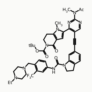 CCN1CCN(Cc2ccc(NC(=O)N3CCc4ccc(C#Cc5cnc(N(C)C(C)=O)nc5-c5cc6c(n5C)CCN(C(=O)OC(C)(C)C)C6=O)cc43)cc2C(F)(F)F)CC1